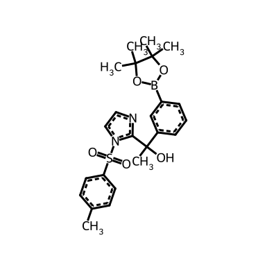 Cc1ccc(S(=O)(=O)n2ccnc2C(C)(O)c2cccc(B3OC(C)(C)C(C)(C)O3)c2)cc1